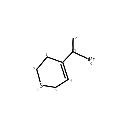 CC(C)C(C)C1=CCSCC1